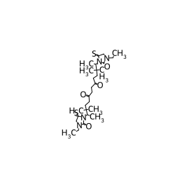 CCN1CC(=S)N(C(C)C(C)(C)CCC(=O)CCC(=O)CCC(C)(C)C(C)N2C(=O)N(CC)CC2=S)C1=O